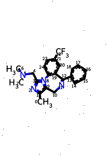 Cc1nc(CN(C)C)n2c1CN=C(c1ccccc1)c1cc(C(F)(F)F)ccc1-2